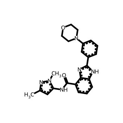 Cc1cc(NC(=O)c2cccc3[nH]c(-c4cccc(N5CCOCC5)c4)nc23)n(C)n1